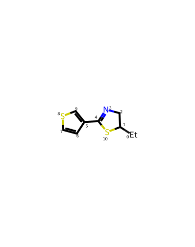 CCC1CN=C(c2ccsc2)S1